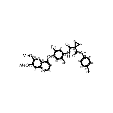 COc1cc2nccc(Oc3cc(F)c(NC(=O)C4(C(=O)Nc5ccc(F)cc5)CC4)cc3F)c2nc1OC